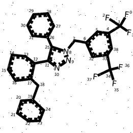 FC(F)(F)c1cc(Cn2nnc(-c3ccccc3Cc3ccccc3)c2-c2ccccc2)cc(C(F)(F)F)c1